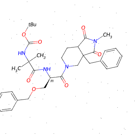 CN1C(=O)C2CCN(C(=O)[C@@H](COCc3ccccc3)NC(=O)C(C)(C)NC(=O)OC(C)(C)C)CC2(Cc2ccccc2)C1=O